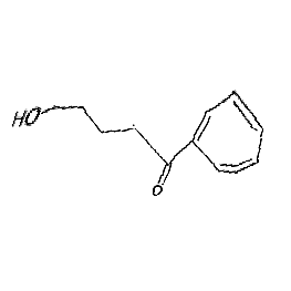 O=C([CH]CCO)c1ccccc1